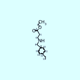 CCOC(=O)CCNCc1ccc(I)cc1